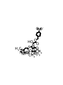 Cn1nnnc1CC(=S)S[C@@H]1[C@H](C(C)(O[SiH](C)C)C(C)(C)C)C(=O)N1C(O)C(=O)OCc1ccc([N+](=O)[O-])cc1